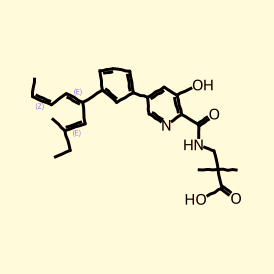 C\C=C/C=C(\C=C(/C)CC)c1cccc(-c2cnc(C(=O)NCC(C)(C)C(=O)O)c(O)c2)c1